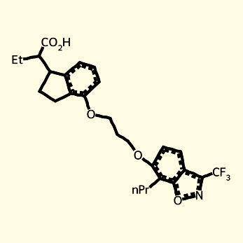 CCCc1c(OCCCOc2cccc3c2CCC3C(CC)C(=O)O)ccc2c(C(F)(F)F)noc12